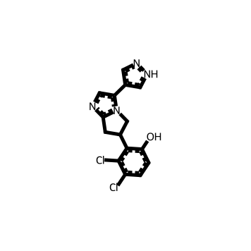 Oc1ccc(Cl)c(Cl)c1C1Cc2ncc(-c3cn[nH]c3)n2C1